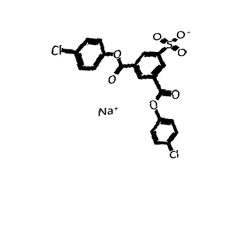 O=C(Oc1ccc(Cl)cc1)c1cc(C(=O)Oc2ccc(Cl)cc2)cc(S(=O)(=O)[O-])c1.[Na+]